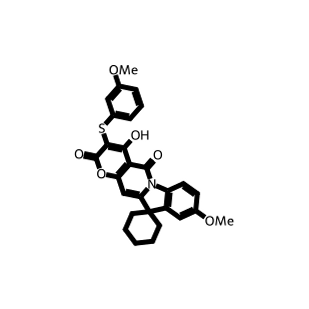 COc1cccc(Sc2c(O)c3c(=O)n4c(cc3oc2=O)C2(CCCCC2)c2cc(OC)ccc2-4)c1